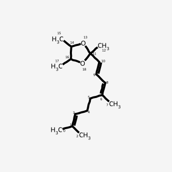 CC(C)=CCCC(C)=CC=CC1(C)OC(C)C(C)O1